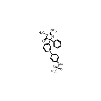 CN1C(=O)C(c2ccccc2)(c2cccc(-c3ccc(NS(C)(=O)=O)cc3)c2)N=C1N